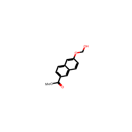 COC(=O)c1ccc2cc(OCO)ccc2c1